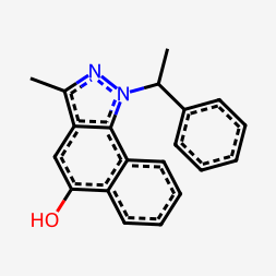 Cc1nn(C(C)c2ccccc2)c2c1cc(O)c1ccccc12